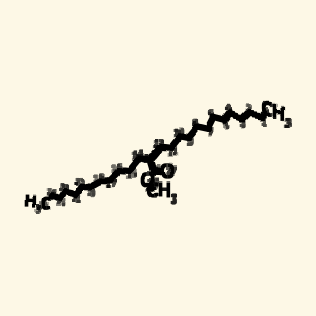 CCCCCCCCCCCCC=C(CCCCCCCCCCCC)C(=O)OC